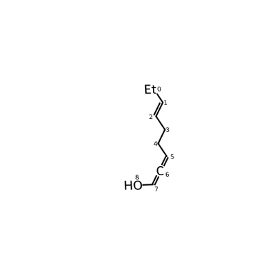 CCC=CCCC=C=CO